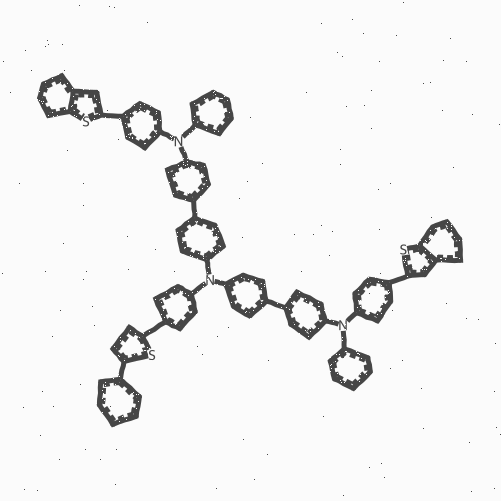 c1ccc(-c2ccc(-c3ccc(N(c4ccc(-c5ccc(N(c6ccccc6)c6ccc(-c7cc8ccccc8s7)cc6)cc5)cc4)c4ccc(-c5ccc(N(c6ccccc6)c6ccc(-c7cc8ccccc8s7)cc6)cc5)cc4)cc3)s2)cc1